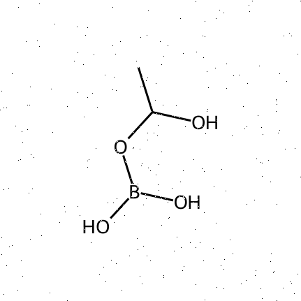 CC(O)OB(O)O